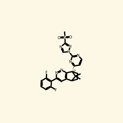 CC1(C)C2CC[C@]1(c1ccnc(-n3cnc(S(C)(=O)=O)n3)n1)c1nnc(-c3c(F)cccc3F)cc12